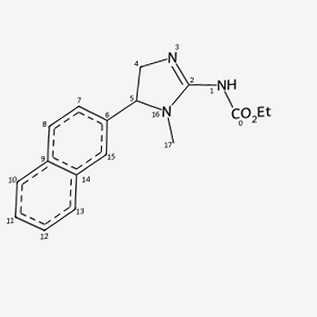 CCOC(=O)NC1=NCC(c2ccc3ccccc3c2)N1C